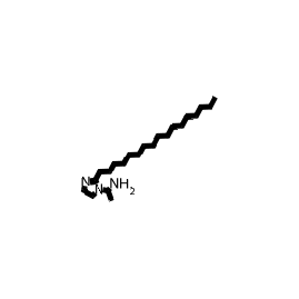 CCCCCCCCCCCCCCCCCC1=NCCN1C(C)N